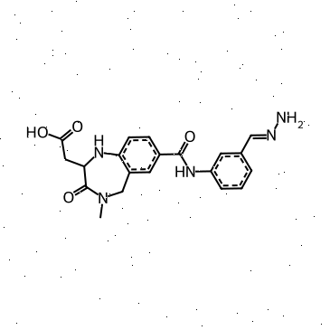 CN1Cc2cc(C(=O)Nc3cccc(C=NN)c3)ccc2NC(CC(=O)O)C1=O